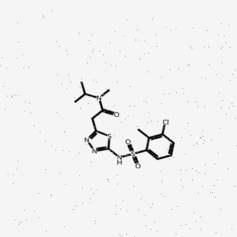 Cc1c(Cl)cccc1S(=O)(=O)Nc1nnc(CC(=O)N(C)C(C)C)s1